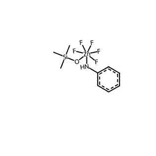 C[Si](C)(C)[O][Zn]([F])([F])([F])([F])([F])[NH]c1ccccc1